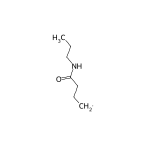 [CH2]CCC(=O)NCCC